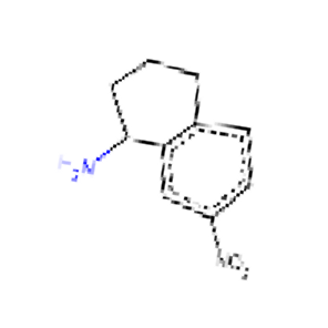 NC1CCCc2ccc([N+](=O)[O-])cc21